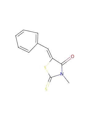 CN1C(=O)C(=Cc2ccccc2)SC1=S